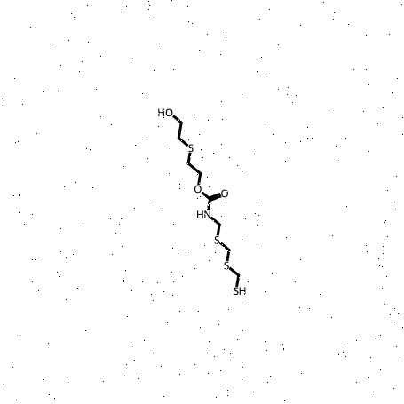 O=C(NCSCSCS)OCCSCCO